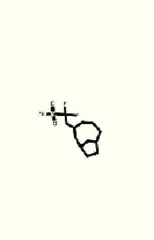 O=S(=O)(O)C(F)(F)CC1CCCC2CCC(C2)C1